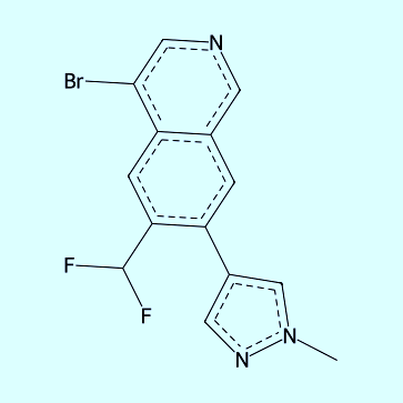 Cn1cc(-c2cc3cncc(Br)c3cc2C(F)F)cn1